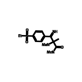 CCS(=O)(=O)c1ccc(C(=N)C(C)(NC)C(=O)NC)cc1